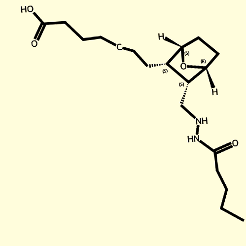 CCCCC(=O)NNC[C@@H]1[C@H](CCCCCCC(=O)O)[C@@H]2CC[C@H]1O2